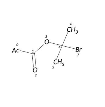 CC(=O)C(=O)OC(C)(C)Br